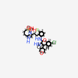 O=C(O)N[C@@H](C(=O)Nc1cccc(F)c1CCC1CNC2CCCS(O)(O)N1C2)[C@@H](c1ccc(Cl)cc1)C1CCOCC1